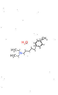 CCN(CC)CCCCCc1ccc(C)cc1.O